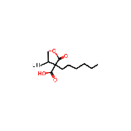 CCCCCCC(C(=O)O)(C(=O)O)C(C)C.[LiH]